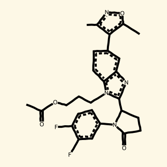 CC(=O)OCCCn1c(C2CCC(=O)N2c2ccc(F)c(F)c2)nc2cc(-c3c(C)noc3C)ccc21